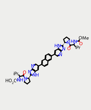 COC(=O)NC(C(=O)N1CCC[C@H]1c1nc2ncc(-c3ccc4cc(-c5cnc6nc([C@H]7CCCN7C(=O)C(NC(=O)O)C(C)C)[nH]c6c5)ccc4c3)cc2[nH]1)C(C)C